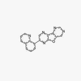 c1cnc2c(-c3cnc4c(n3)oc3cncnc34)cccc2c1